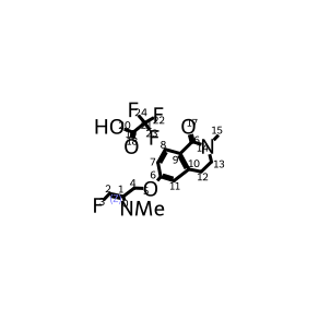 CN/C(=C\F)COc1ccc2c(c1)CCN(C)C2=O.O=C(O)C(F)(F)F